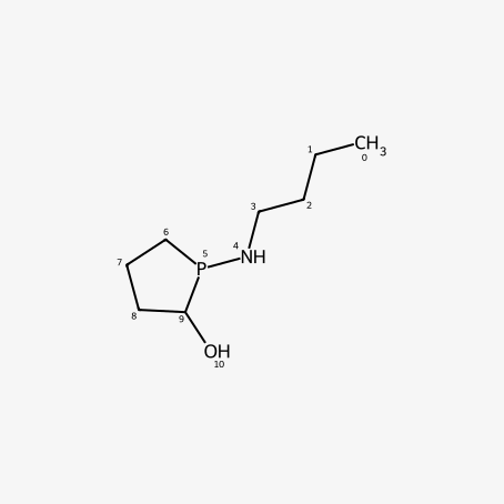 CCCCNP1CCCC1O